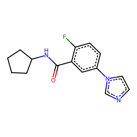 O=C(NC1CCCC1)c1cc(-n2ccnc2)ccc1F